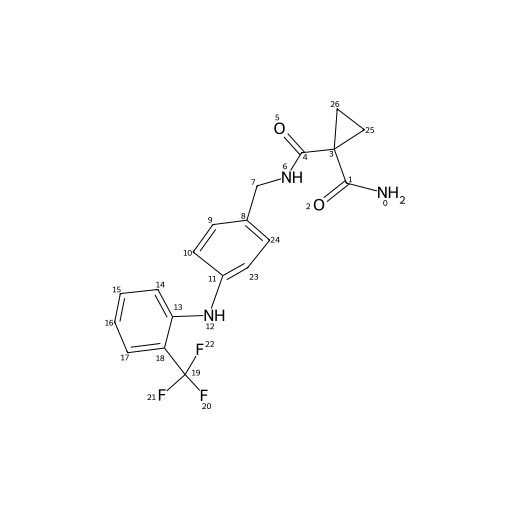 NC(=O)C1(C(=O)NCc2ccc(Nc3ccccc3C(F)(F)F)cc2)CC1